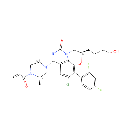 C=CC(=O)N1C[C@H](C)N(c2nc(=O)n3c4c(c(-c5ccc(F)cc5F)c(Cl)cc24)O[C@H](CCCCO)C3)C[C@H]1C